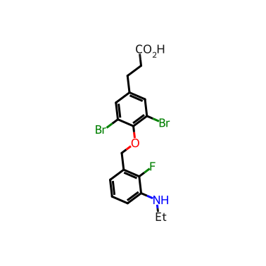 CCNc1cccc(COc2c(Br)cc(CCC(=O)O)cc2Br)c1F